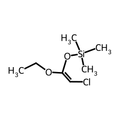 CCOC(=CCl)O[Si](C)(C)C